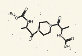 BC(=O)NC(C)C(=O)N1CCN(C(=O)C(C)NC(=O)OC(C)(C)C)CC1